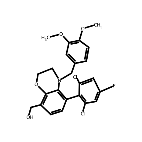 COc1ccc(CN2CCOc3c(CO)ccc(-c4c(Cl)cc(F)cc4Cl)c32)cc1OC